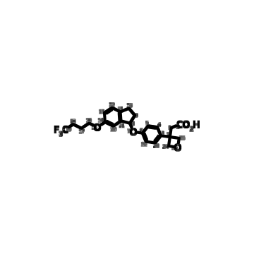 O=C(O)CC1(c2ccc(OC3CCc4ccc(OCCCC(F)(F)F)cc43)cc2)COC1